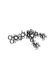 CCCCn1c(-c2cccc(Oc3ccc(Cl)c(Cl)c3)c2)nc2c(OCCN3CCCC3)cc(OCCN3CCCC3)cc21